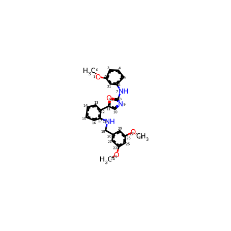 COc1cccc(Nc2ncc(-c3ccccc3NCc3cc(OC)cc(OC)c3)o2)c1